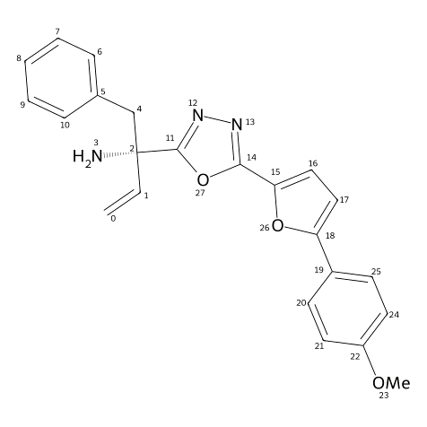 C=C[C@@](N)(Cc1ccccc1)c1nnc(-c2ccc(-c3ccc(OC)cc3)o2)o1